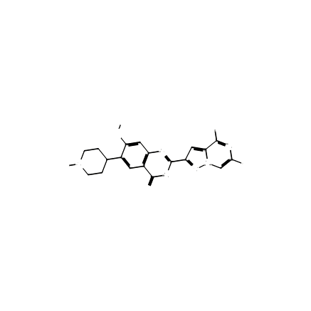 COc1cc2nc(-c3cc4c(C)nc(C)cn4n3)[nH]c(=O)c2cc1C1CCN(C)CC1